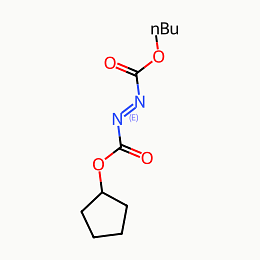 CCCCOC(=O)/N=N/C(=O)OC1CCCC1